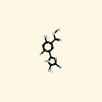 CC(C)OC(=O)c1cc(-c2nc(Br)c(C(F)(F)F)[nH]2)c(F)cc1C(F)(F)F